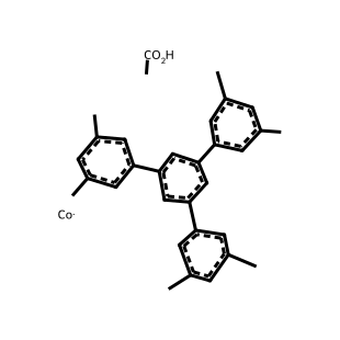 CC(=O)O.Cc1cc(C)cc(-c2cc(-c3cc(C)cc(C)c3)cc(-c3cc(C)cc(C)c3)c2)c1.[Co]